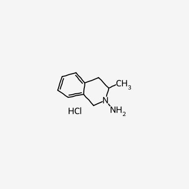 CC1Cc2ccccc2CN1N.Cl